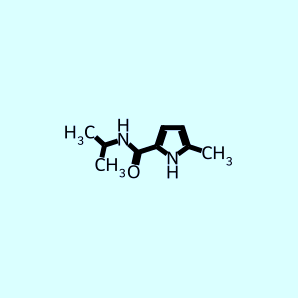 Cc1ccc(C(=O)NC(C)C)[nH]1